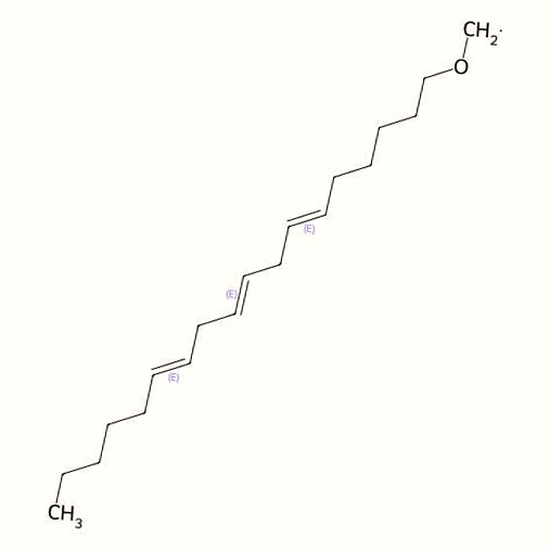 [CH2]OCCCCC/C=C/C/C=C/C/C=C/CCCCC